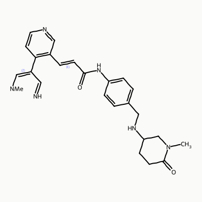 CN/C=C(\C=N)c1ccncc1/C=C/C(=O)Nc1ccc(CNC2CCC(=O)N(C)C2)cc1